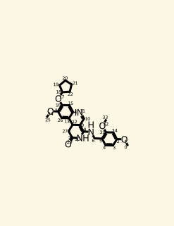 COc1ccc(CNC2=C(C=N)C(c3ccc(OC4CCCC4)c(OC)c3)CC(=O)N2)c(OC)c1